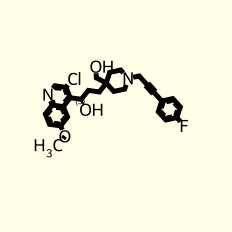 COc1ccc2ncc(Cl)c([C@@H](O)CCC3(CO)CCN(CC#Cc4ccc(F)cc4)CC3)c2c1